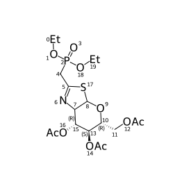 CCOP(=O)(CC1=NC2C(O[C@H](COC(C)=O)[C@@H](OC(C)=O)[C@@H]2OC(C)=O)S1)OCC